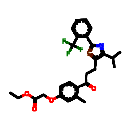 CCOC(=O)COc1ccc(C(=O)CCc2sc(-c3ccccc3C(F)(F)F)nc2C(C)C)c(C)c1